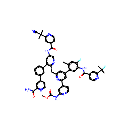 COC(=O)Nc1cc(-c2cc(-c3cc(NC(=O)c4ccnc(C(C)(C)F)c4)c(F)cc3C)cc(Cc3ncc(NC(=O)c4ccnc(C(C)(C)C#N)c4)cc3-c3cccc(-c4ccnc(C(N)=O)c4)c3)n2)ccn1